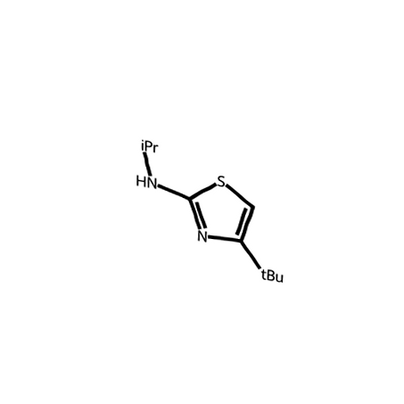 CC(C)Nc1nc(C(C)(C)C)cs1